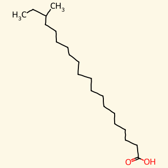 CCC(C)CCCCCCCCCCCCCCCCC(=O)O